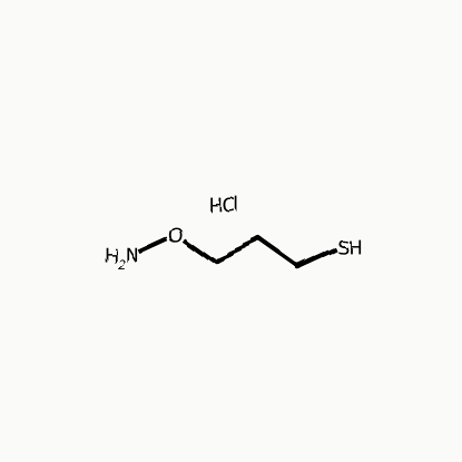 Cl.NOCCCS